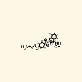 Cc1cccc(C(=O)NO)c1CNS(=O)(=O)c1ccc(OCCCN)cc1